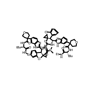 CCNC(=O)[C@H](NC(=O)C1(c2ccc3nc([C@@H](NC(=O)N(CC)CC4CC4(C)[C@@H](c4ccccc4Cl)[C@H](NC(=O)N(C)C)c4nc5ccc(C6(C(=O)N[C@@H](C(=O)NCC)C(C)(C)C)CCOCC6)cc5[nH]4)[C@H](c4ccccc4Cl)C4(C)CC4)[nH]c3c2)CCOCC1)C(C)(C)C